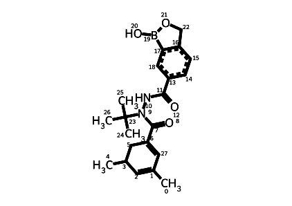 CC1=CC(C)CC(C(=O)N(NC(=O)c2ccc3c(c2)B(O)OC3)C(C)(C)C)=C1